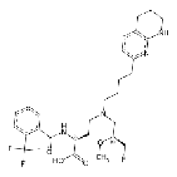 CO[C@H](CF)CN(CCCCc1ccc2c(n1)NCCC2)CC[C@H](NC(=O)c1ccccc1C(F)(F)F)C(=O)O